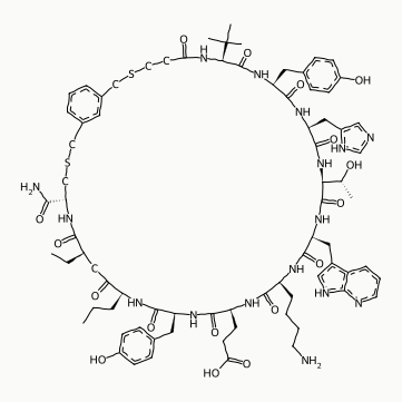 CCC[C@@H]1NC(=O)[C@H](Cc2ccc(O)cc2)NC(=O)[C@H](CCC(=O)O)NC(=O)[C@H](CCCCN)NC(=O)[C@H](Cc2c[nH]c3ncccc23)NC(=O)[C@H]([C@@H](C)O)NC(=O)[C@H](Cc2cnc[nH]2)NC(=O)[C@H](Cc2ccc(O)cc2)NC(=O)[C@H](C(C)(C)C)NC(=O)CCSCc2cccc(c2)CSC[C@@H](C(N)=O)NC(=O)[C@H](CC)CC1=O